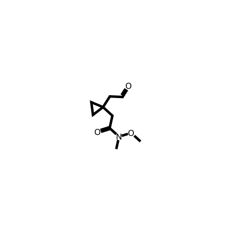 CON(C)C(=O)CC1(CC=O)CC1